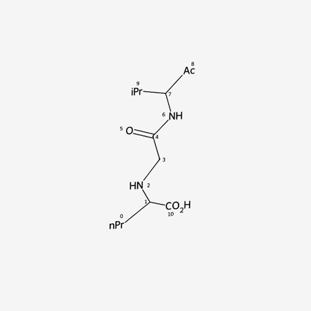 CCCC(NCC(=O)NC(C(C)=O)C(C)C)C(=O)O